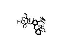 CCC(=O)N[C@@H](Cc1ccc(-c2nccs2)c(S)c1Cc1cccc(OC)c1)C(=O)O